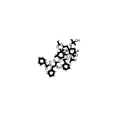 CC(=O)O[C@H](C)C[C@]1(C)[C@@H](OC(C)(C)O)C[C@H]2OC[C@@]2(OC(C)=O)[C@H]1[C@H](OC(=O)c1ccccc1)[C@]1(O)C[C@H](OC(=O)[C@H](O)[C@@H](NC(=O)c2ccccc2)c2ccccc2)C(C)=CC1(C)C